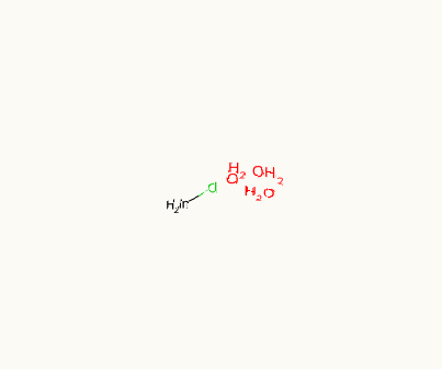 O.O.O.[Cl][InH2]